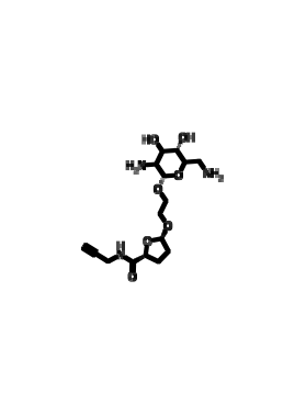 C#CCNC(=O)[C@@H]1CC[C@H](OCCO[C@H]2OC(CN)[C@@H](O)C(O)C2N)O1